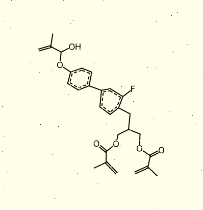 C=C(C)C(=O)OCC(COC(=O)C(=C)C)Cc1ccc(-c2ccc(OC(O)C(=C)C)cc2)cc1F